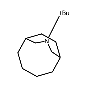 CC(C)(C)N1CC2CCCCC(CC2)C1